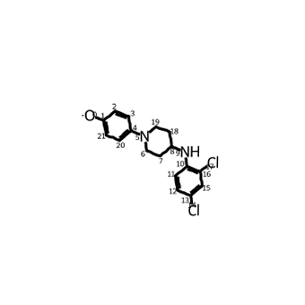 [O]c1ccc(N2CCC(Nc3ccc(Cl)cc3Cl)CC2)cc1